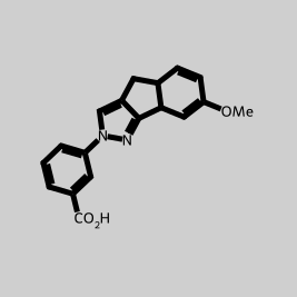 COC1=CC2c3nn(-c4cccc(C(=O)O)c4)cc3CC2C=C1